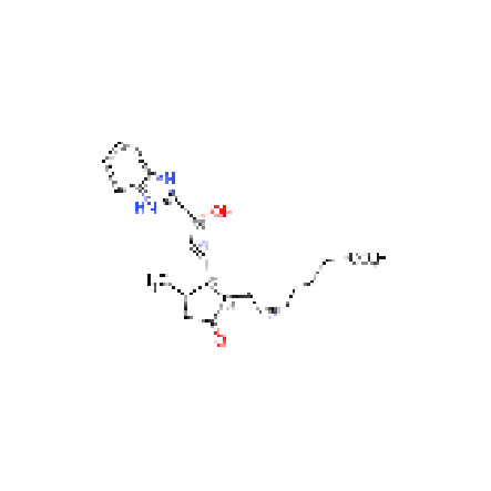 CC1=CC(=O)[C@H](C/C=C\CCCC(=O)O)[C@H]1/C=C/[C@@H](O)c1nc2ccccc2[nH]1